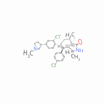 CC[C@@]12CC[C@@H](c3ccc(-c4ccn(C)c4)cc3Cl)[C@H](c3ccc(Cl)cc3)[C@@H]1[C@@H](C)NC2=O